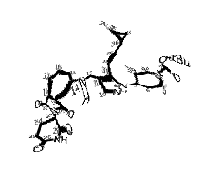 CC(C)(C)OC(=O)N1CCC(n2ncc(CNc3cccc4c3C(=O)N(C3CCC(=O)NC3=O)C4=O)c2C#CC2CC2)CC1